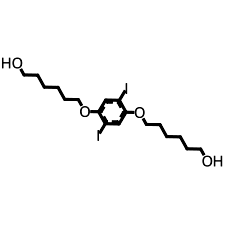 OCCCCCCOc1cc(I)c(OCCCCCCO)cc1I